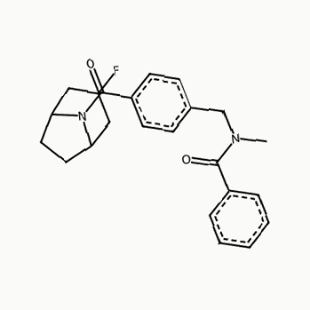 CN(Cc1ccc(C(=O)N2C3CCC2CC(F)C3)cc1)C(=O)c1ccccc1